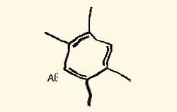 Cc1cc(C)c(C)cc1C.[Al]